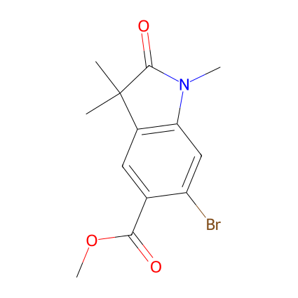 COC(=O)c1cc2c(cc1Br)N(C)C(=O)C2(C)C